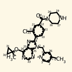 Cc1ccnc(Cn2c(-c3ccc(C(=O)N4CCNCC4)cc3Cl)nc3c(OC4(C)CC4)ncnc32)c1